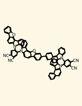 N#Cc1cc(-n2c3ccccc3c3c4ccccc4ccc32)c(-n2c3ccccc3c3c4ccc(-c5ccc6c(c5)oc5c6ccc6c5c5ccccc5n6-c5cc(C#N)c(C#N)cc5-n5c6ccccc6c6c7oc8ccccc8c7ccc65)cc4ccc32)cc1C#N